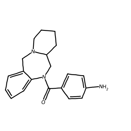 Nc1ccc(C(=O)N2CC3CCCCN3Cc3ccccc32)cc1